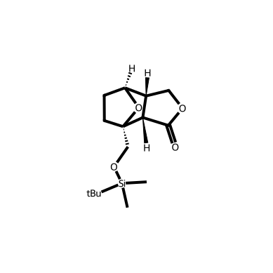 CC(C)(C)[Si](C)(C)OC[C@]12CC[C@H](O1)[C@@H]1COC(=O)[C@@H]12